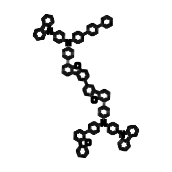 c1ccc(-c2ccc(-c3ccc(N(c4ccc(-c5cccc6c5oc5ccc(-c7ccc8oc9c(-c%10ccc(N(c%11ccc(-c%12cccc%13c%12oc%12ccccc%12%13)cc%11)c%11ccc(-n%12c%13ccccc%13c%13ccccc%13%12)cc%11)cc%10)cccc9c8c7)cc56)cc4)c4ccc(-n5c6ccccc6c6ccccc65)cc4)cc3)cc2)cc1